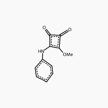 COc1c(Nc2ccccc2)c(=O)c1=O